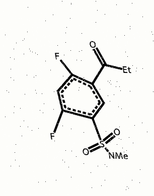 CCC(=O)c1cc(S(=O)(=O)NC)c(F)cc1F